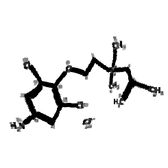 C=C(C)C[N+](C)(C)CCOc1c(Cl)cc(N)cc1Cl.[Cl-]